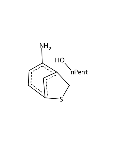 CCCCCO.Nc1ccc2cc1CS2